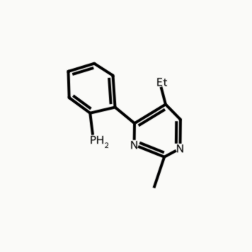 CCc1cnc(C)nc1-c1ccccc1P